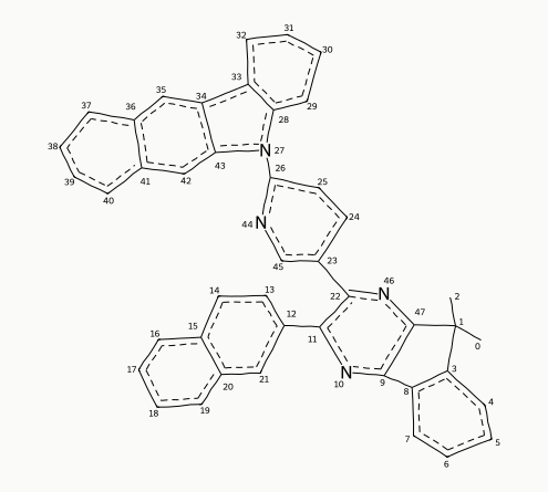 CC1(C)c2ccccc2-c2nc(-c3ccc4ccccc4c3)c(-c3ccc(-n4c5ccccc5c5cc6ccccc6cc54)nc3)nc21